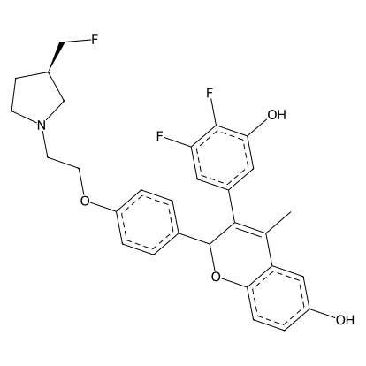 CC1=C(c2cc(O)c(F)c(F)c2)C(c2ccc(OCCN3CC[C@@H](CF)C3)cc2)Oc2ccc(O)cc21